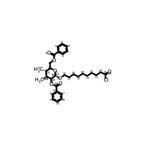 C[C@@H]1C(COC(=O)c2ccccc2)O[C@@H](OCCCCCCCCCC(=O)Cl)C(OC(=O)c2ccccc2)[C@H]1C